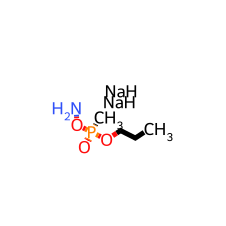 CCCOP(C)(=O)ON.[NaH].[NaH]